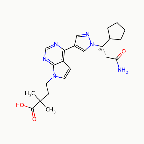 CC(C)(CCn1ccc2c(-c3cnn([C@@H](CC(N)=O)C4CCCC4)c3)ncnc21)C(=O)O